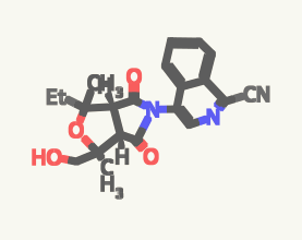 CCC1(C)OC(C)(CO)[C@H]2C(=O)N(c3cnc(C#N)c4ccccc34)C(=O)[C@H]21